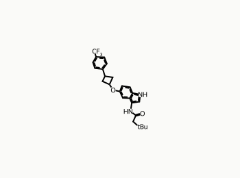 CC(C)(C)CC(=O)Nc1c[nH]c2ccc(OC3CC(c4ccc(C(F)(F)F)cc4)C3)cc12